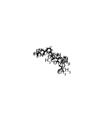 CCC(C)C(=O)CN(C)C(=O)c1c(N(C)C=O)ncn1C(C)C(=O)Nc1cccc(-c2cnc(C(F)(F)F)nc2)n1